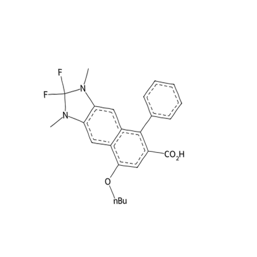 CCCCOc1cc(C(=O)O)c(-c2ccccc2)c2cc3c(cc12)N(C)C(F)(F)N3C